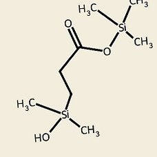 C[Si](C)(O)CCC(=O)O[Si](C)(C)C